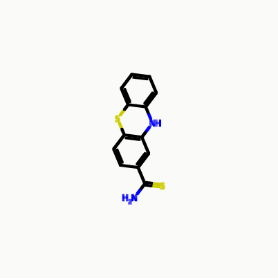 NC(=S)c1ccc2c(c1)Nc1ccccc1S2